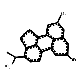 CC(C(=O)O)c1ccc2c3cc(C(C)(C)C)cc4cc(C(C)(C)C)cc(c5cccc1c52)c43